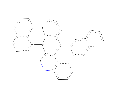 c1ccc2cc(-c3c4ccccc4c(-c4cccc5ccccc45)c4cnc5ccccc5c34)ccc2c1